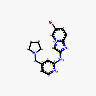 Brc1ccc2nc(Nc3cc(CN4CCCC4)ccn3)cn2c1